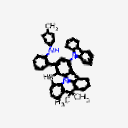 Cc1ccc(Nc2ccccc2-c2cc(-n3c4ccccc4c4ccccc43)c3c4cccc5c4n4c3c2Bc2cccc(c2-4)C5(C)C)cc1